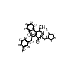 Cc1nn(CC2CCCC2)c(=O)c(CCc2cccc(F)c2)c1-c1ccccc1O